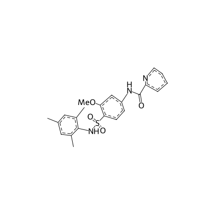 COc1cc(NC(=O)c2ccccn2)ccc1S(=O)(=O)Nc1c(C)cc(C)cc1C